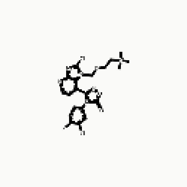 C[Si](C)(C)CCOCn1c(Cl)nc2nccc(-c3noc(=O)n3-c3ccc(F)c(Cl)c3)c21